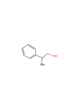 CCCCC(CO)c1ccccc1